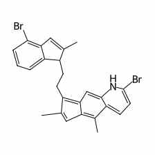 CC1=Cc2c(Br)cccc2C1CCc1c(C)cc2c(C)c3ccc(Br)[nH]c3cc12